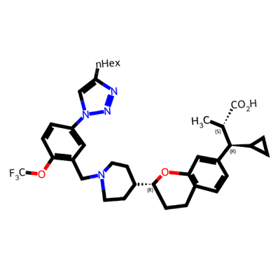 CCCCCCc1cn(-c2ccc(OC(F)(F)F)c(CN3CCC([C@H]4CCc5ccc([C@H](C6CC6)[C@H](C)C(=O)O)cc5O4)CC3)c2)nn1